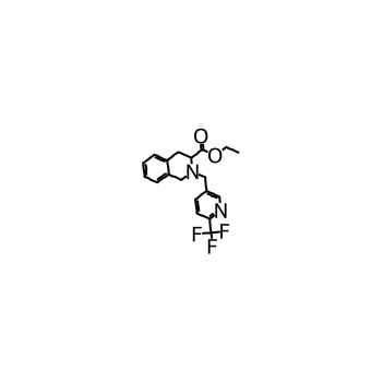 CCOC(=O)C1Cc2ccccc2CN1Cc1ccc(C(F)(F)F)nc1